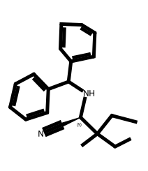 CCC(C)(CC)[C@@H](C#N)NC(c1ccccc1)c1ccccc1